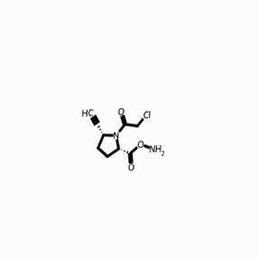 C#C[C@H]1CC[C@@H](C(=O)ON)N1C(=O)CCl